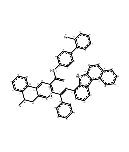 C=C(Bc1ccc(-c2ccccc2C(C)C)cc1)C(=C\C(=Cc1cccc2c1[nH]c1ccc3ccccc3c12)c1ccccc1)/C=C1\C(=C/CC)CC(C)c2ccccc21